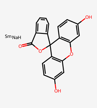 O=C1OC2(c3ccc(O)cc3Oc3cc(O)ccc32)c2ccccc21.[NaH].[Sm]